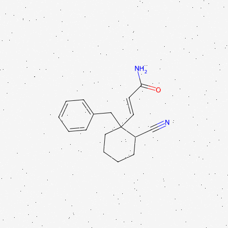 N#CC1CCCCC1(C=CC(N)=O)Cc1ccccc1